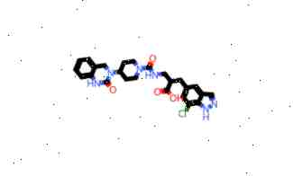 O=C(O)C(CNC(=O)N1CCC(N2Cc3ccccc3NC2=O)CC1)Cc1cc(Cl)c2[nH]ncc2c1